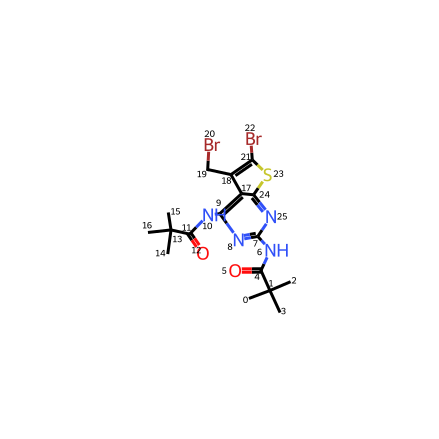 CC(C)(C)C(=O)Nc1nc(NC(=O)C(C)(C)C)c2c(CBr)c(Br)sc2n1